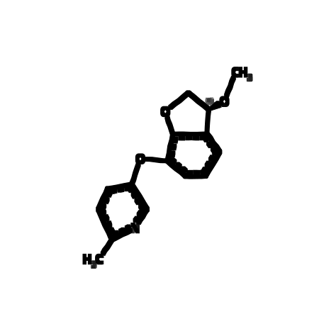 CO[C@@H]1COc2c(Oc3ccc(C)nc3)cccc21